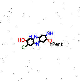 CCCCCOC1=CC(=Nc2ccc(O)c(Cl)c2)C(N)=CC1=N